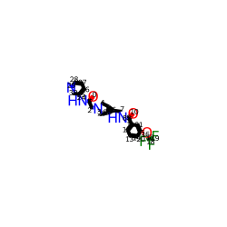 O=C(CN1CC2C(CNC(=O)c3cccc(OC(F)(F)F)c3)C2C1)Nc1cccnc1